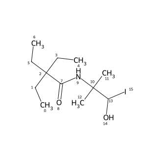 CCC(CC)(CC)C(=O)NC(C)(C)C(O)I